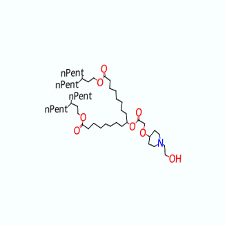 CCCCCC(CCCCC)CCOC(=O)CCCCCCCC(CCCCCCCC(=O)OCCC(CCCCC)CCCCC)OC(=O)COC1CCN(CCO)CC1